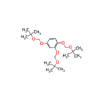 CC(C)(C)OCOc1ccc(OCOC(C)(C)C)c(OCOC(C)(C)C)c1